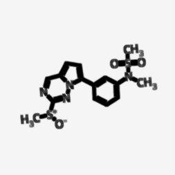 CN(c1cccc(-c2ccc3cnc([S+](C)[O-])nn23)c1)S(C)(=O)=O